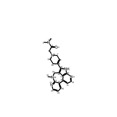 CN(C)C(=O)CN1CC=C(c2[nH]c3nccc4c3c2CN(C)c2ncccc2-4)CC1